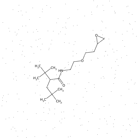 CC(C)(C)CC(C(=O)NCCOCCC1CO1)C(C)(C)C